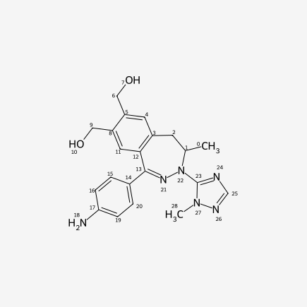 CC1Cc2cc(CO)c(CO)cc2C(c2ccc(N)cc2)=NN1c1ncnn1C